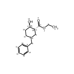 CCOC(=O)[C@@H]1CN(Cc2ccccc2)CC[C@H]1O